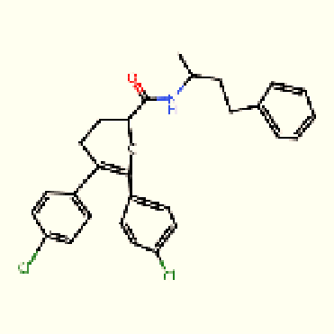 CC(CCc1ccccc1)NC(=O)C1CCC(c2ccc(Cl)cc2)=C(c2ccc(Cl)cc2)C1